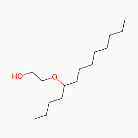 CCCCCCCCC(CCCC)OCCO